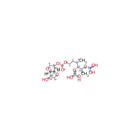 CC(CCOC(=O)O[C@@H]1CO[C@H]2[C@@H]1OC[C@H]2O)C(ON(O)O)C(C)ON(O)O